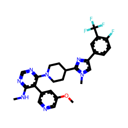 CNc1ncnc(N2CCC(c3nc(-c4ccc(F)c(C(F)(F)F)c4)cn3C)CC2)c1-c1cncc(OC)c1